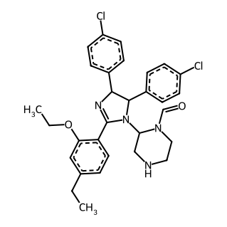 CCOc1cc(CC)ccc1C1=NC(c2ccc(Cl)cc2)C(c2ccc(Cl)cc2)N1C1CNCCN1C=O